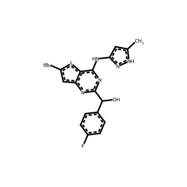 Cc1cc(Nc2nc(C(O)c3ccc(F)cc3)nc3cc(C(C)(C)C)sc23)n[nH]1